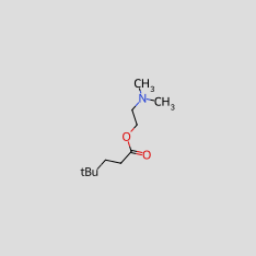 CN(C)CCOC(=O)CCC(C)(C)C